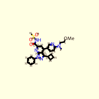 COCCN(C)c1ccc(-c2cc(C(=O)NS(C)(=O)=O)nc3c2c(C2CCC2)nn3-c2ccccc2)cn1